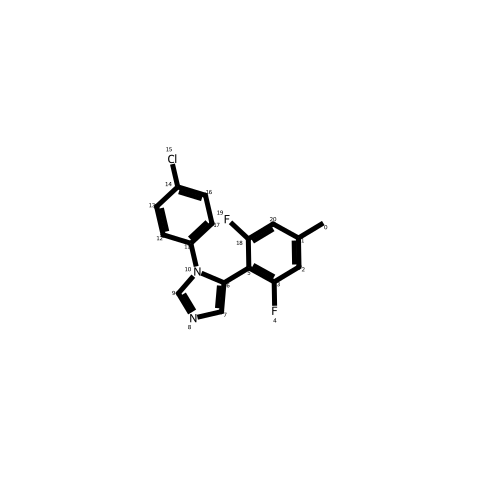 Cc1cc(F)c(-c2cncn2-c2ccc(Cl)cc2)c(F)c1